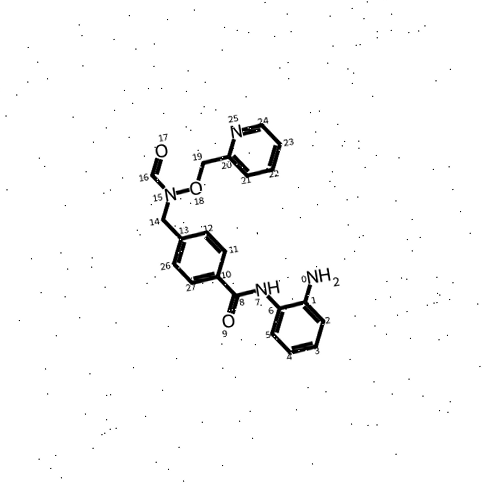 Nc1ccccc1NC(=O)c1ccc(CN(C=O)OCc2ccccn2)cc1